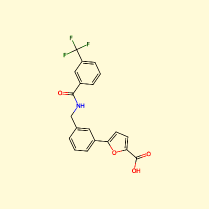 O=C(NCc1cccc(-c2ccc(C(=O)O)o2)c1)c1cccc(C(F)(F)F)c1